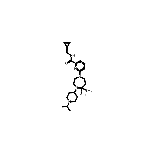 BC1(B)CCN(c2cccc(C(=O)NCC3CC3)n2)CCN1C1CCN(C(C)C)CC1